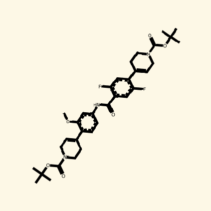 COc1cc(NC(=O)c2cc(F)c(C3=CCN(C(=O)OC(C)(C)C)CC3)cc2F)ccc1C1=CCN(C(=O)OC(C)(C)C)CC1